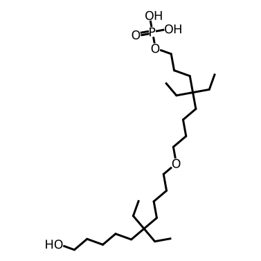 CCC(CC)(CCCCCO)CCCCOCCCCC(CC)(CC)CCCOP(=O)(O)O